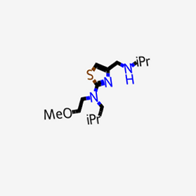 COCCN(CC(C)C)c1nc(CNC(C)C)cs1